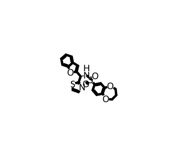 O=S(=O)(N[C@@H](c1cc2ccccc2o1)c1nccs1)c1ccc2c(c1)OCCCO2